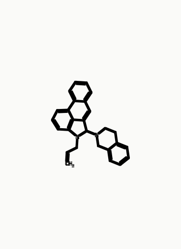 C=CCN1c2cccc3c2c(cc2ccccc23)C1N1CCc2ccccc2C1